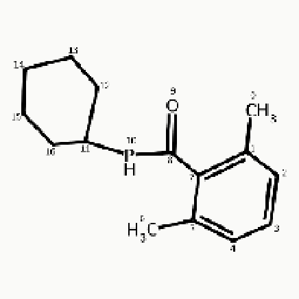 Cc1cccc(C)c1C(=O)PC1CCCCC1